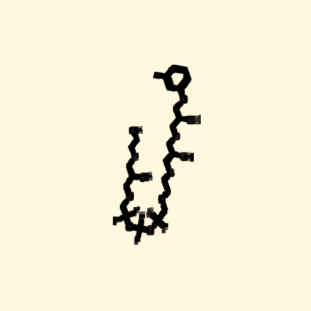 Cc1cccc(OCC(O)COCC(O)COCCOCC(F)(F)OC(F)(F)OC(F)(F)COCC(O)COCCO)c1